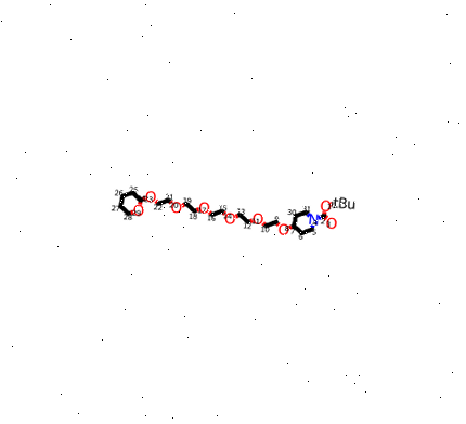 CC(C)(C)OC(=O)N1CCC(OCCOCCOCCOCCOCCOC2CCCCO2)CC1